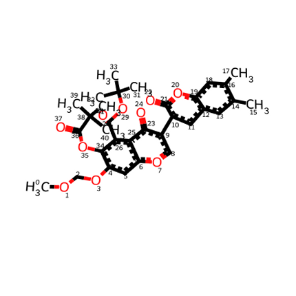 COCOc1cc2occ(-c3cc4cc(C)c(C)cc4oc3=O)c(=O)c2c(C(=O)OC(C)(C)C)c1OC(=O)C(C)(C)C